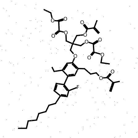 C=C(C)C(=O)OCCCc1cc(-c2ccc(CCCCCCCC)cc2F)c(CC)cc1OCC(COC(=O)C(=C)C)(COC(=O)C(=O)OCC)COC(=O)C(=O)OCC